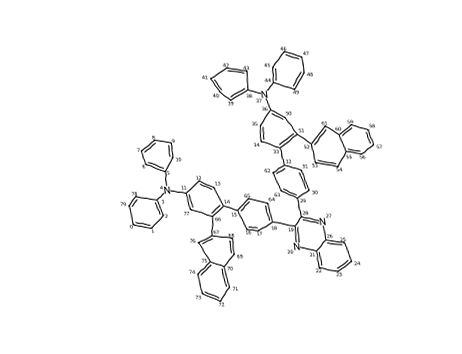 c1ccc(N(c2ccccc2)c2ccc(-c3ccc(-c4nc5ccccc5nc4-c4ccc(-c5ccc(N(c6ccccc6)c6ccccc6)cc5-c5ccc6ccccc6c5)cc4)cc3)c(-c3ccc4ccccc4c3)c2)cc1